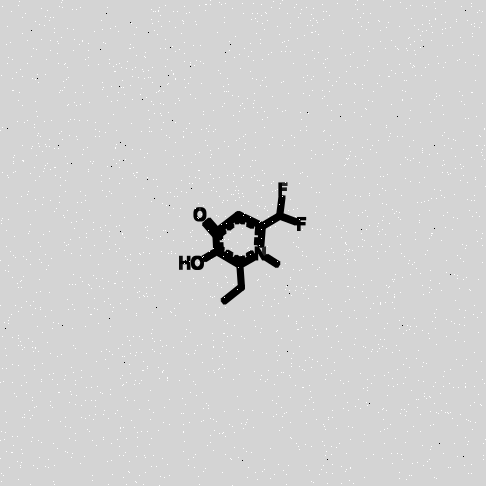 CCc1c(O)c(=O)cc(C(F)F)n1C